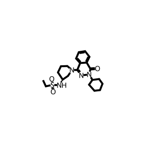 CCS(=O)(=O)N[C@H]1CCCN(c2nn(C3CCCCC3)c(=O)c3ccccc23)C1